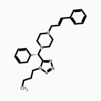 CCCCn1nnnc1[C@H](C1C=CC=CC1)N1CCN(C/C=C/c2ccccc2)CC1